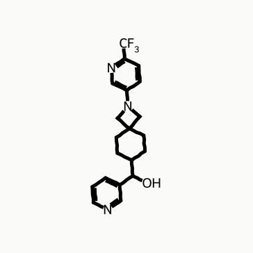 OC(c1cccnc1)C1CCC2(CC1)CN(c1ccc(C(F)(F)F)nc1)C2